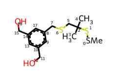 CSSC(C)(C)CSCc1cc(CO)cc(CO)c1